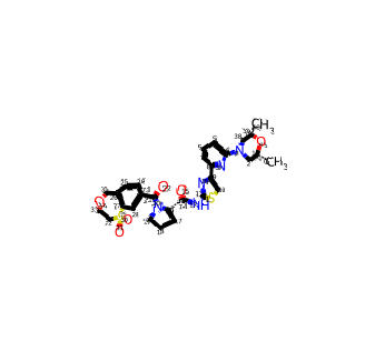 C[C@@H]1CN(c2cccc(-c3csc(NC(=O)[C@@H]4CCCN4C(=O)c4ccc5c(c4)S(=O)(=O)CCOC5)n3)n2)C[C@H](C)O1